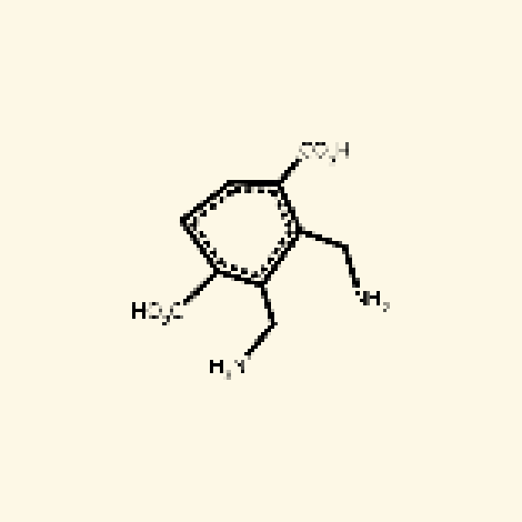 NCc1c(C(=O)O)ccc(C(=O)O)c1CN